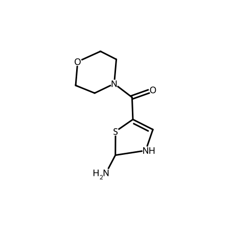 NC1NC=C(C(=O)N2CCOCC2)S1